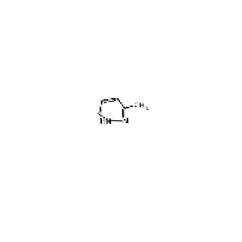 CC1=NNSC=C1